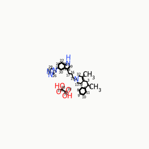 CC1=C(CC(C)c2ccccc2)CCN(CCCc2c[nH]c3ccc(-n4cnnc4)cc23)C1.O=C(O)C(=O)O